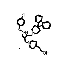 OCCC1CCN(Cc2cn(Cc3ccc(Cl)cc3)nc2CN2CCC(c3ccccc3)(c3ccccc3)CC2)CC1